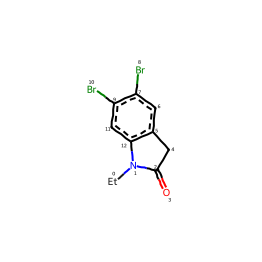 CCN1C(=O)Cc2cc(Br)c(Br)cc21